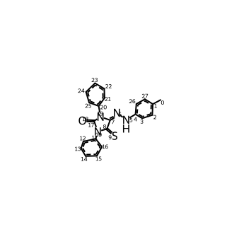 Cc1ccc(NN=C2C(=S)N(c3ccccc3)C(=O)N2c2ccccc2)cc1